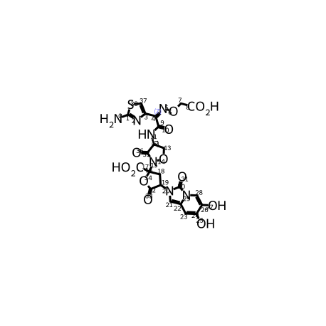 Nc1nc(/C(=N/OCC(=O)O)C(=O)N[C@H]2CON(C3(C(=O)O)CC(n4cc5cc(O)c(O)cn5c4=O)C(=O)O3)C2=O)cs1